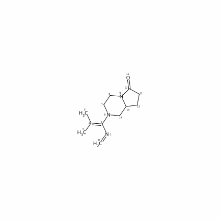 C=NC(=C(C)C)N1CCN2C(=O)CCC2C1